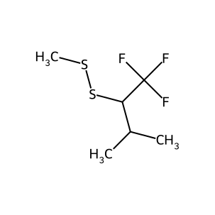 CSSC(C(C)C)C(F)(F)F